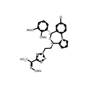 CO/N=C(/C(=O)O)c1nnn(CC[C@H]2O[C@H](c3cccc(OC)c3OC)c3cc(Cl)ccc3-n3cccc32)n1